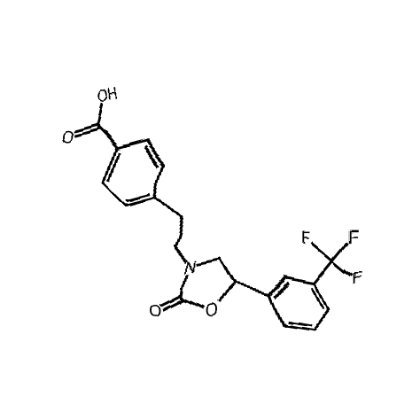 O=C(O)c1ccc(CCN2CC(c3cccc(C(F)(F)F)c3)OC2=O)cc1